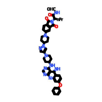 CCCC(C(=O)NC=O)N1C(=O)c2ccc(N3CCC(n4cc(N5CCC(Nc6ncnc(N)c6C(=N)c6ccc(Oc7ccccc7)cc6)CC5)cn4)CC3)cc2C1=O